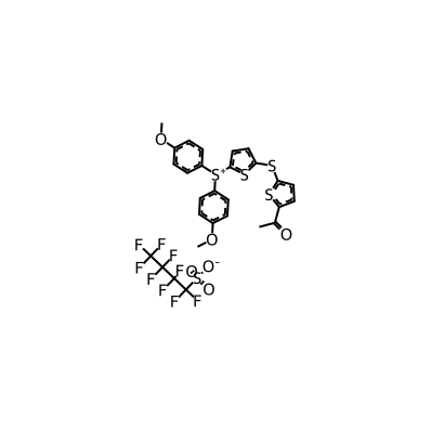 COc1ccc([S+](c2ccc(OC)cc2)c2ccc(Sc3ccc(C(C)=O)s3)s2)cc1.O=S(=O)([O-])C(F)(F)C(F)(F)C(F)(F)C(F)(F)F